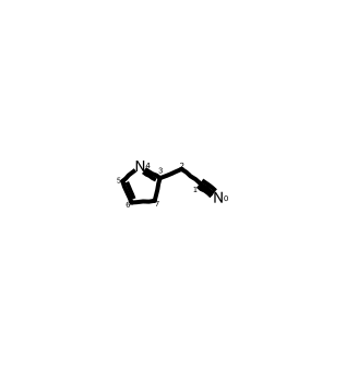 N#CCC1=NC=CC1